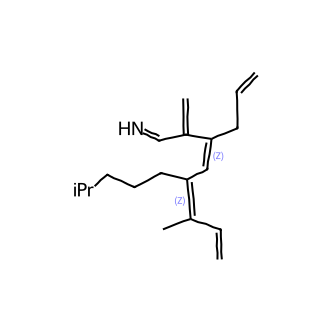 C=CC/C(=C/C(CCCC(C)C)=C(/C)C=C)C(=C)C=N